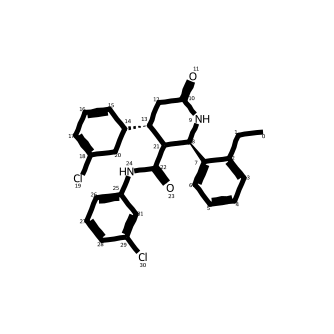 CCc1ccccc1[C@@H]1NC(=O)C[C@@H](C2C=CC=C(Cl)C2)C1C(=O)Nc1cccc(Cl)c1